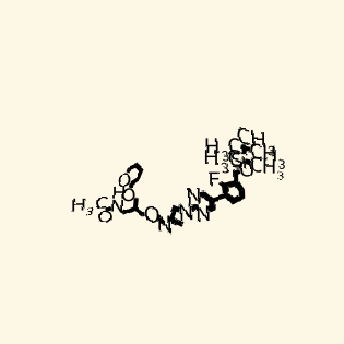 CC(=O)NCC(CON=C1CN(c2ncc(-c3cccc(CO[Si](C)(C)C(C)(C)C)c3F)cn2)C1)COC1CCCCO1